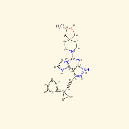 C[C@H]1CC2(CCN(c3nc4[nH]nc(C#CC5(c6ccccc6)CC5)c4c4nccn34)CC2)CO1